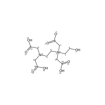 O=C([O-])C[N+](CCO)(CCN(CC(=O)O)CC(=O)O)CC(=O)O